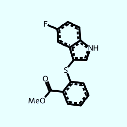 COC(=O)c1ccccc1Sc1c[nH]c2ccc(F)cc12